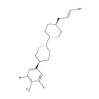 CCC/C=C/C[C@H]1CC[C@H]([C@H]2CC[C@H](c3cc(F)c(C(F)(F)F)c(F)c3)CC2)CC1